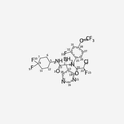 B[C@@](C(=O)NC1CCC(F)(F)CC1)(c1cncnc1)N(C(=O)[C@H](F)Cl)c1ccc(OC(F)(F)F)cc1F